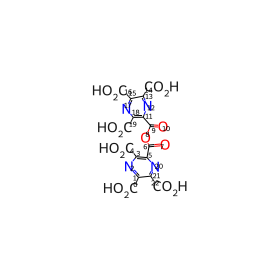 O=C(O)c1nc(C(=O)O)c(C(=O)OC(=O)c2nc(C(=O)O)c(C(=O)O)nc2C(=O)O)nc1C(=O)O